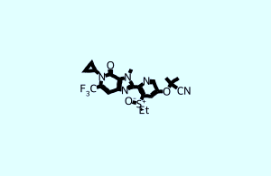 CC[S@@+]([O-])c1cc(OC(C)(C)C#N)cnc1-c1nc2cc(C(F)(F)F)n(C3CC3)c(=O)c2n1C